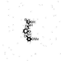 COc1cccc(C(=O)NC2CC=CCN(CC(=O)NC3CC(=O)OC3O)C2=O)c1